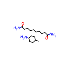 CC1CCC(N)CC1.NC(=O)CCCCCCCCC(N)=O